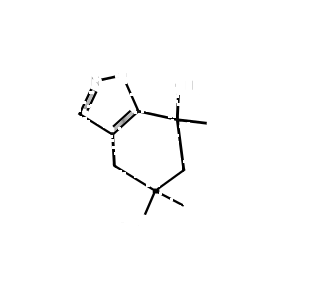 CC1(C)Cc2cnoc2C(C)(C)C1